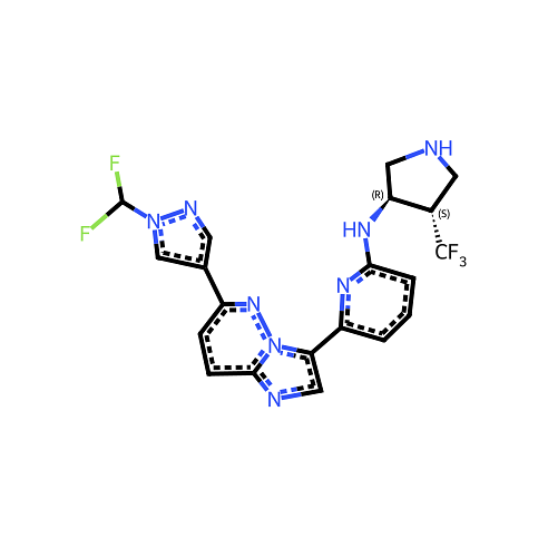 FC(F)n1cc(-c2ccc3ncc(-c4cccc(N[C@H]5CNC[C@@H]5C(F)(F)F)n4)n3n2)cn1